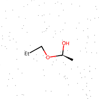 CCCO[C@H](C)O